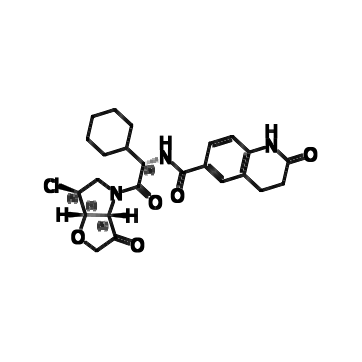 O=C1CCc2cc(C(=O)N[C@H](C(=O)N3C[C@H](Cl)[C@H]4OCC(=O)[C@H]43)C3CCCCC3)ccc2N1